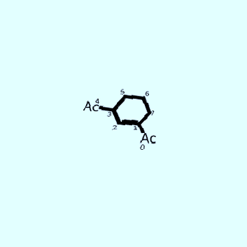 CC(=O)C1=CC(C(C)=O)CCC1